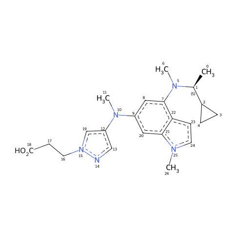 C[C@@H](C1CC1)N(C)c1cc(N(C)c2cnn(CCC(=O)O)c2)cc2c1ccn2C